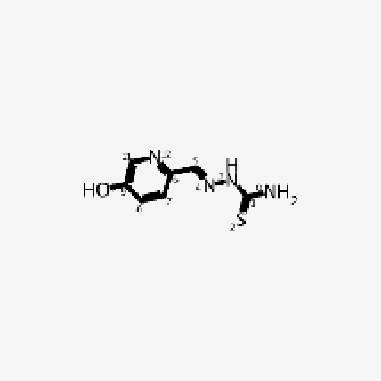 NC(=S)NN=Cc1ccc(O)cn1